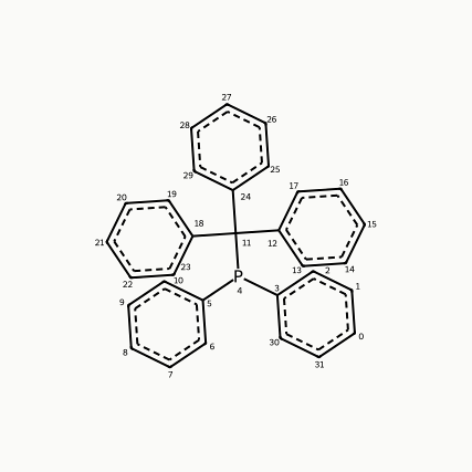 c1ccc(P(c2ccccc2)C(c2ccccc2)(c2ccccc2)c2ccccc2)cc1